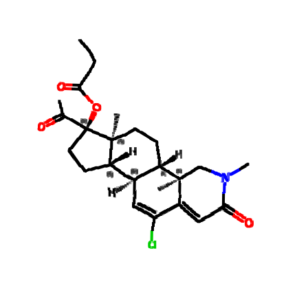 CCC(=O)O[C@]1(C(C)=O)CC[C@H]2[C@@H]3C=C(Cl)C4=CC(=O)N(C)C[C@]4(C)[C@H]3CC[C@@]21C